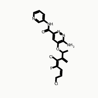 C=C(/C(Cl)=C(F)\C=C/CCl)C(C)Oc1cc(C(=O)Nc2cccnc2)nnc1N